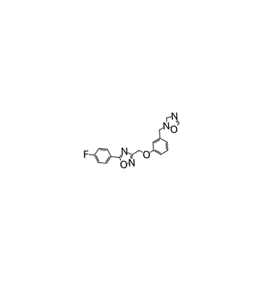 Fc1ccc(-c2nc(COc3cccc(CN4CN=CO4)c3)no2)cc1